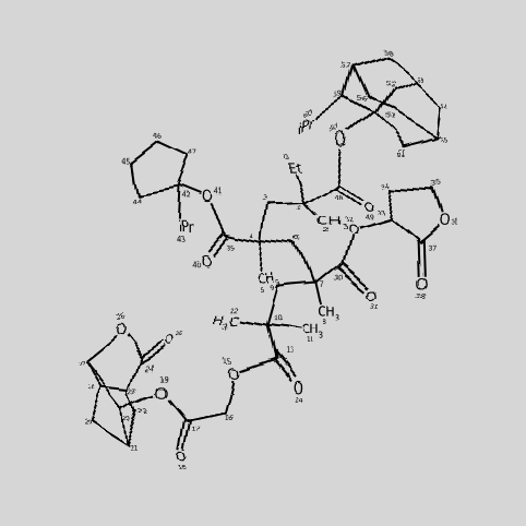 CCC(C)(CC(C)(CC(C)(CC(C)(C)C(=O)OCC(=O)OC1C2CC3C(=O)OC1C3C2)C(=O)OC1CCOC1=O)C(=O)OC1(C(C)C)CCCC1)C(=O)OC12CC3CC(CC(C3)C1C(C)C)C2